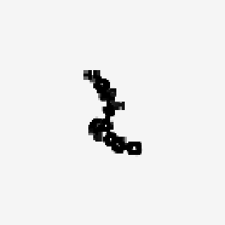 Cc1ccc(S(=O)(=O)OCC2(O)CC(c3nc(-c4ccc5ccc(-c6ccccc6)nc5c4)c4c(Cl)nccn34)C2)cc1